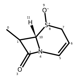 CC1C(=O)N2C=CC[S+]([O-])[C@@H]12